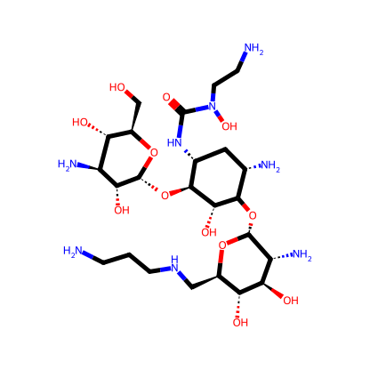 NCCCNC[C@H]1O[C@H](OC2[C@@H](N)C[C@@H](NC(=O)N(O)CCN)[C@H](O[C@H]3O[C@H](CO)[C@@H](O)[C@H](N)[C@H]3O)[C@H]2O)[C@H](N)[C@@H](O)[C@@H]1O